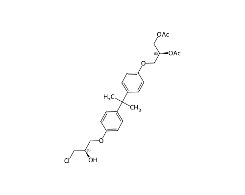 CC(=O)OC[C@H](COc1ccc(C(C)(C)c2ccc(OC[C@@H](O)CCl)cc2)cc1)OC(C)=O